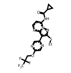 CCSc1nn2c(NC(=O)C3CC3)ccnc2c1-c1cnc(OCC(F)(F)C(F)(F)F)cn1